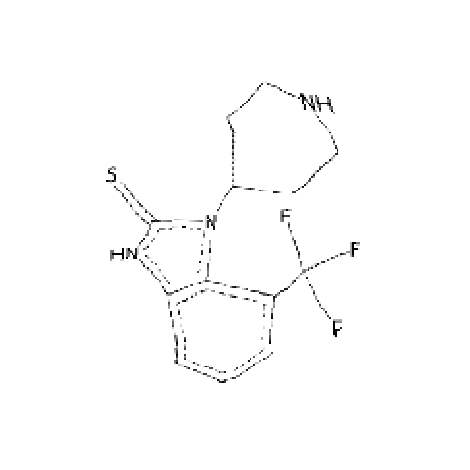 FC(F)(F)c1cccc2[nH]c(=S)n(C3CCNCC3)c12